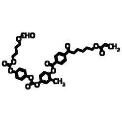 C=CC(=O)OCCCCCC(=O)c1ccc(C(=O)Oc2ccc(OC(=O)Oc3ccc(OC(=O)OCCCCOC=O)cc3)cc2C)cc1